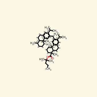 CCCC(C)(C)OC(=O)C1(C)CCCC2(C)c3cc(Cc4cc5c(cc4C(C)C)CCC4C(C)CCCC54C)c(C(C)C)cc3CCC12